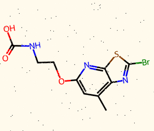 Cc1cc(OCCNC(=O)O)nc2sc(Br)nc12